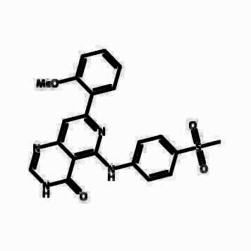 COc1ccccc1-c1cc2nc[nH]c(=O)c2c(Nc2ccc(S(C)(=O)=O)cc2)n1